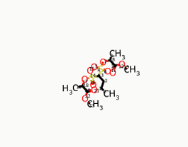 CCCC(S(=O)(=O)OC(C)C(=O)OC)S(=O)(=O)OC(C)C(=O)OC